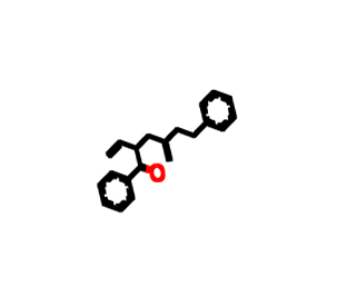 C=CC(CC(=C)CCc1ccccc1)C(=O)c1ccccc1